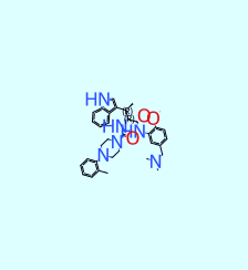 COc1ccc(CN(C)C)cc1NC(=O)[C@H](NC(=O)N1CCN(c2ccccc2C)CC1)[C@H](C)c1c[nH]c2ccccc12